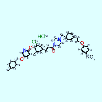 Cc1ccc(COc2ccc(Oc3c(C)cc(/C=C/C(=O)N4CCN(Cc5ccc(CCOc6ccc([N+](=O)[O-])cc6)cc5)CC4)cc3Cl)nc2)cc1.Cl